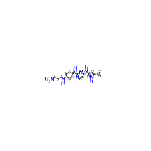 NCCCNc1ccc(Nc2nccc(Nc3cc(C4CC4)[nH]n3)n2)cc1